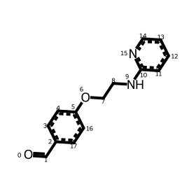 O=Cc1ccc(OCCNc2ccccn2)cc1